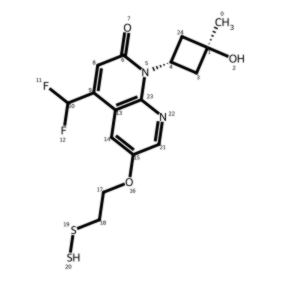 C[C@]1(O)C[C@H](n2c(=O)cc(C(F)F)c3cc(OCCSS)cnc32)C1